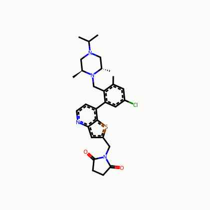 Cc1cc(Cl)cc(-c2ccnc3cc(CN4C(=O)CCC4=O)sc23)c1CN1[C@@H](C)CN(C(C)C)C[C@@H]1C